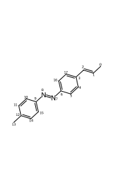 CC=Cc1ccc(N=Nc2ccc(C)cc2)cc1